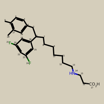 Cc1ccc(CC(CCCCCCCNCCC(=O)O)c2cc(F)cc(F)c2)cc1C